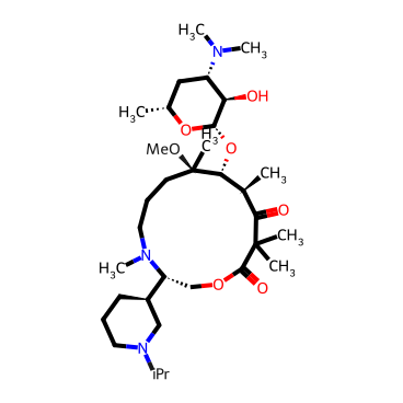 CO[C@]1(C)CCCN(C)[C@@H]([C@@H]2CCCN(C(C)C)C2)COC(=O)C(C)(C)C(=O)[C@H](C)[C@H]1O[C@@H]1O[C@H](C)C[C@H](N(C)C)[C@H]1O